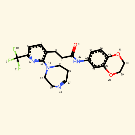 O=C(CCc1ccc(C(F)(F)F)nc1N1CCC=NCC1)Nc1ccc2c(c1)OCCO2